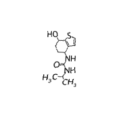 CC(C)NC(=O)NC1CCC(O)c2sccc21